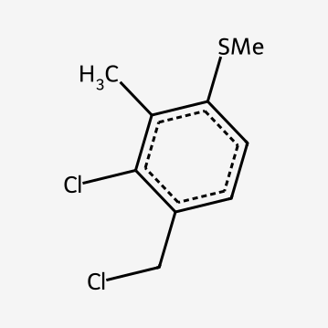 CSc1ccc(CCl)c(Cl)c1C